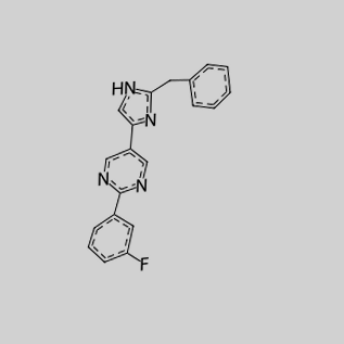 Fc1cccc(-c2ncc(-c3c[nH]c(Cc4ccccc4)n3)cn2)c1